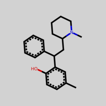 Cc1ccc(O)c(C(CC2CCCCN2C)c2ccccc2)c1